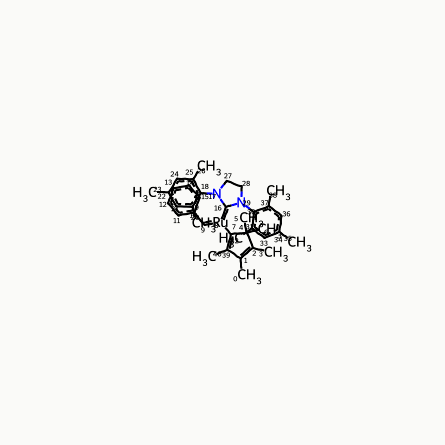 CC1=C(C)C(C)(C)[C](/[Ru](=[CH]/c2ccccc2)=[C]2N(c3c(C)cc(C)cc3C)CCN2c2c(C)cc(C)cc2C)=C1C